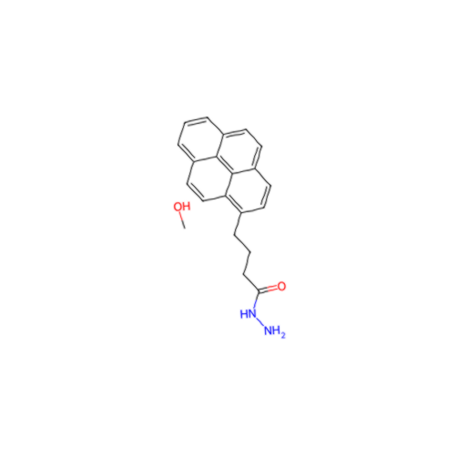 CO.NNC(=O)CCCc1ccc2ccc3cccc4ccc1c2c34